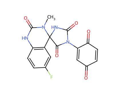 CN1C(=O)Nc2ccc(F)cc2C12NC(=O)N(C1=CC(=O)C=CC1=O)C2=O